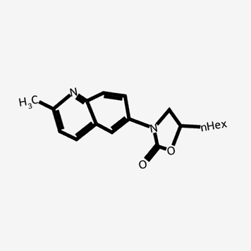 CCCCCCC1CN(c2ccc3nc(C)ccc3c2)C(=O)O1